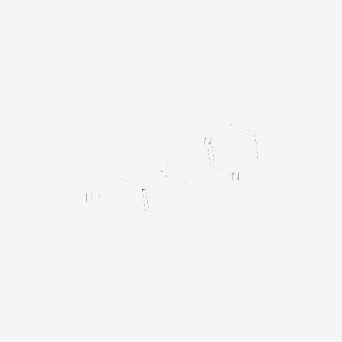 C=CC(=O)NOc1ncccn1